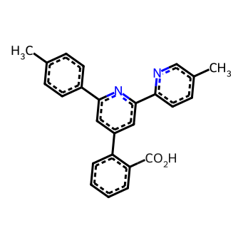 Cc1ccc(-c2cc(-c3ccccc3C(=O)O)cc(-c3ccc(C)cn3)n2)cc1